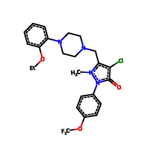 CCOc1ccccc1N1CCN(Cc2c(Cl)c(=O)n(-c3ccc(OC(F)(F)F)cc3)n2C)CC1